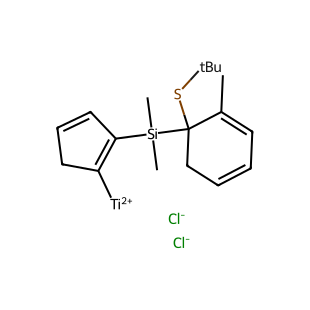 CC1=CC=CCC1(SC(C)(C)C)[Si](C)(C)C1=[C]([Ti+2])CC=C1.[Cl-].[Cl-]